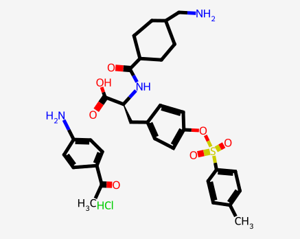 CC(=O)c1ccc(N)cc1.Cc1ccc(S(=O)(=O)Oc2ccc(C[C@H](NC(=O)C3CCC(CN)CC3)C(=O)O)cc2)cc1.Cl